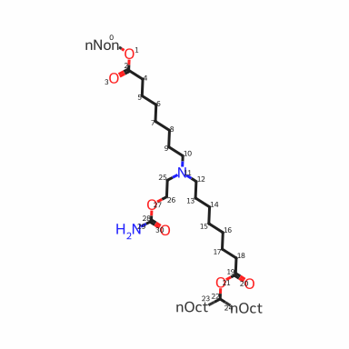 CCCCCCCCCOC(=O)CCCCCCCN(CCCCCCCC(=O)OC(CCCCCCCC)CCCCCCCC)CCOC(N)=O